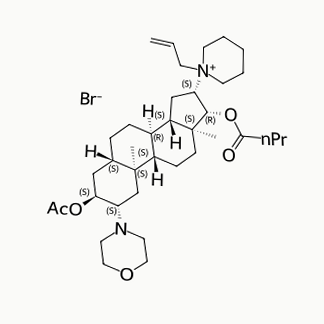 C=CC[N+]1([C@H]2C[C@H]3[C@@H]4CC[C@H]5C[C@H](OC(C)=O)[C@@H](N6CCOCC6)C[C@]5(C)[C@H]4CC[C@]3(C)[C@H]2OC(=O)CCC)CCCCC1.[Br-]